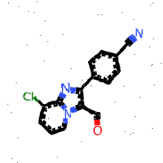 N#Cc1ccc(-c2nc3c(Cl)cccn3c2C=O)cc1